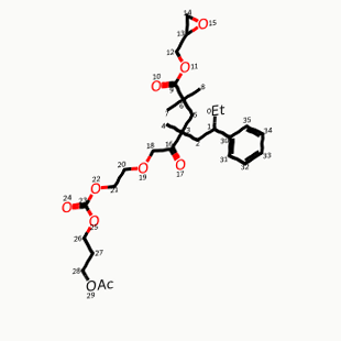 CCC(CC(C)(CC(C)(C)C(=O)OCC1CO1)C(=O)COCCOC(=O)OCCCOC(C)=O)c1ccccc1